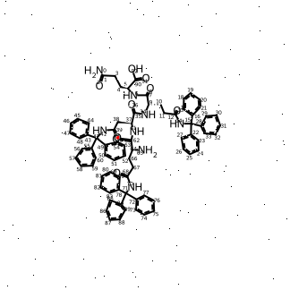 NC(=O)CC[C@H](NC(=O)[C@H](CCC(=O)NC(c1ccccc1)(c1ccccc1)c1ccccc1)NC(=O)[C@H](CC(=O)NC(c1ccccc1)(c1ccccc1)c1ccccc1)NC(=O)[C@@H](N)CCC(=O)NC(c1ccccc1)(c1ccccc1)c1ccccc1)C(=O)O